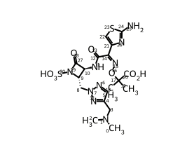 CN(C)Cc1cnn(C[C@H]2[C@H](NC(=O)C(=NOC(C)(C)C(=O)O)c3csc(N)n3)C(=O)N2S(=O)(=O)O)n1